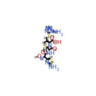 CO/N=C(\C(=O)N[C@@H]1C(=O)N2C(C(=O)O)=C(CSc3nnnn3N)CS[C@@H]12)c1csc(N)n1